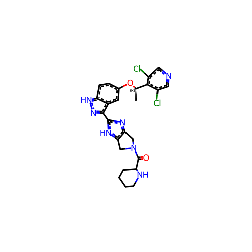 C[C@@H](Oc1ccc2[nH]nc(-c3nc4c([nH]3)CN(C(=O)C3CCCCN3)C4)c2c1)c1c(Cl)cncc1Cl